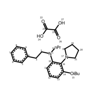 CCCN(CCc1ccccc1)c1cccc(OCC(C)C)c1N1CCCC1.O=C(O)C(=O)O